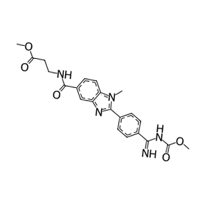 COC(=O)CCNC(=O)c1ccc2c(c1)nc(-c1ccc(C(=N)NC(=O)OC)cc1)n2C